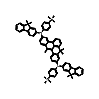 Cc1c2c3c(cccc3c3cc(N(c4ccc([Si](C)(C)C)cc4)c4ccc5c(c4)C(C)(C)c4ccccc4-5)ccc13)C(C)(C)c1cc(N(c3ccc([Si](C)(C)C)cc3)c3ccc4c(c3)C(C)(C)c3ccccc3-4)ccc1-2